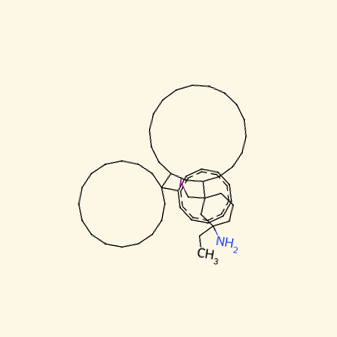 CCC1(N)CCCC(CI)(C2CCCCCCCCCCCCCCCC(C3(c4ccccccccc4)CCCCCCCCCCCCCCC3)C2)C1